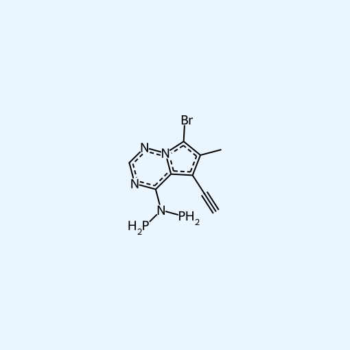 C#Cc1c(C)c(Br)n2ncnc(N(P)P)c12